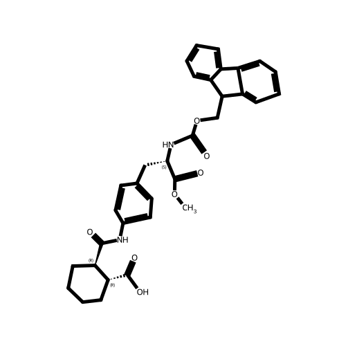 COC(=O)[C@H](Cc1ccc(NC(=O)[C@@H]2CCCC[C@H]2C(=O)O)cc1)NC(=O)OCC1c2ccccc2-c2ccccc21